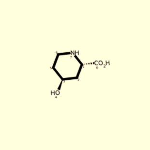 O=C(O)[C@@H]1C[C@@H](O)CCN1